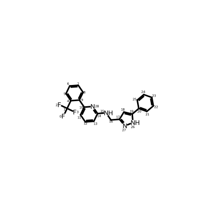 FC(F)(F)c1ccccc1-c1cccc(NCc2cc(-c3ccccc3)[nH]n2)n1